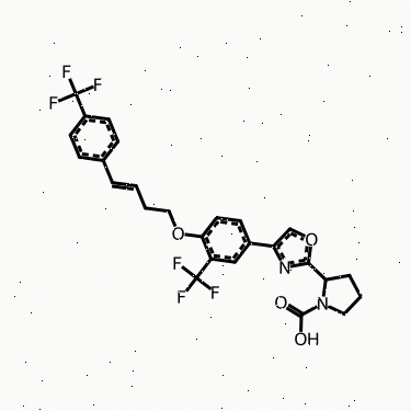 O=C(O)N1CCCC1c1nc(-c2ccc(OCCC=Cc3ccc(C(F)(F)F)cc3)c(C(F)(F)F)c2)co1